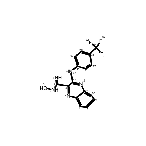 N=C(NO)c1nc2ccccc2nc1Nc1ccc(C(F)(F)F)cc1